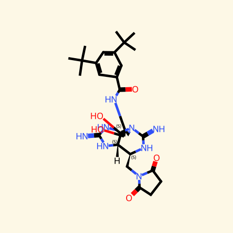 CC(C)(C)c1cc(C(=O)NC2CN3C(=N)N[C@@H](CN4C(=O)CCC4=O)[C@@H]4NC(=N)N[C@@]43C2(O)O)cc(C(C)(C)C)c1